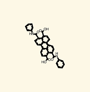 O=C(O)c1ccc2c3ccc(C(=O)Nc4ccccc4)c4c(C(=O)O)ccc(c5ccc(C(=O)Nc6ccccc6)c1c25)c43